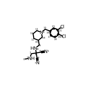 CNCC(C#N)(C#N)NCC1CCCN(Cc2ccc(Cl)c(Cl)c2)C1